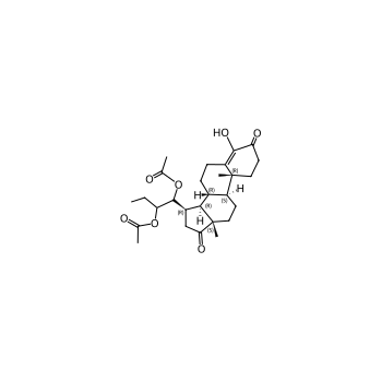 CCC(OC(C)=O)C(OC(C)=O)[C@@H]1CC(=O)[C@@]2(C)CC[C@H]3[C@@H](CCC4=C(O)C(=O)CC[C@@]43C)[C@H]12